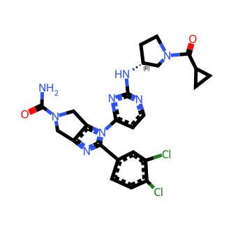 NC(=O)N1Cc2nc(-c3ccc(Cl)c(Cl)c3)n(-c3ccnc(N[C@@H]4CCN(C(=O)C5CC5)C4)n3)c2C1